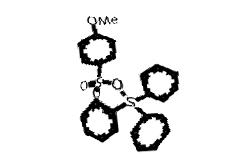 COc1ccc(S(=O)(=O)OS(c2ccccc2)(c2ccccc2)c2ccccc2)cc1